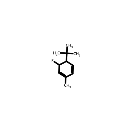 CC1=CC(F)C(C(C)(C)C)C=C1